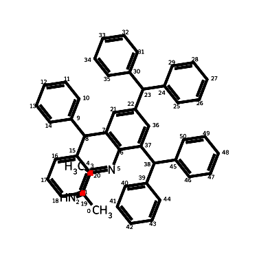 CC(=N)C(C)=Nc1c(C(c2ccccc2)c2ccccc2)cc(C(c2ccccc2)c2ccccc2)cc1C(c1ccccc1)c1ccccc1